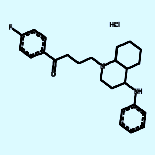 Cl.O=C(CCCN1CCC(Nc2ccccc2)C2CCCCC21)c1ccc(F)cc1